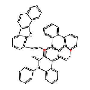 c1ccc(-c2ccccc2N(c2ccccc2)c2cc(-c3cccc4c3oc3c5ccccc5ccc43)cc(N(c3ccccc3)c3ccccc3-c3ccccc3)c2)cc1